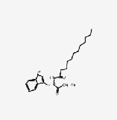 CCCCCCCCCCCC(=O)N[C@@H](Cc1c[nH]c2ccccc12)C(=O)O.[Na]